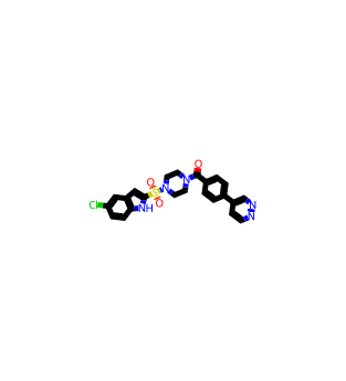 O=C(c1ccc(-c2ccnnc2)cc1)N1CCN(S(=O)(=O)c2cc3cc(Cl)ccc3[nH]2)CC1